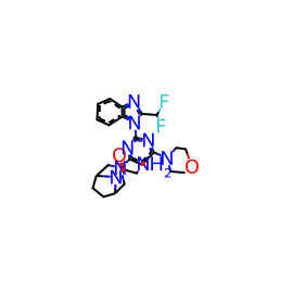 NCC(=O)N1C2CCC1CN(c1cc(N3CCOCC3)nc(-n3c(C(F)F)nc4ccccc43)n1)C2